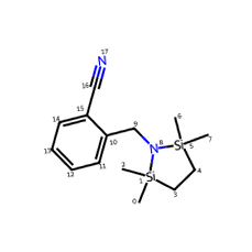 C[Si]1(C)CC[Si](C)(C)N1Cc1ccccc1C#N